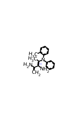 C=C(N)/C(N)=C(\C)N(c1ccccc1)c1ccccc1C